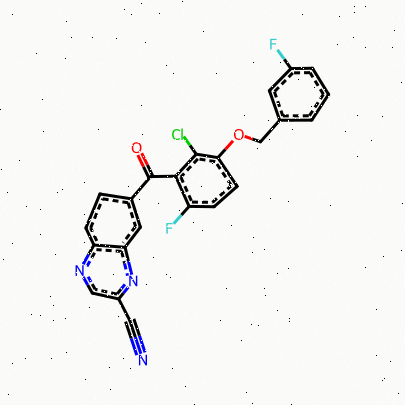 N#Cc1cnc2ccc(C(=O)c3c(F)ccc(OCc4cccc(F)c4)c3Cl)cc2n1